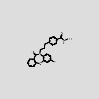 O=C(NO)c1ccc(CCCN2C(=O)c3ccccc3Oc3cc(Cl)ccc32)cc1